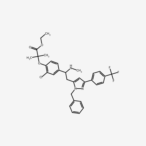 CCOC(=O)C(C)(C)Oc1ccc(C(Cc2cc(-c3ccc(C(F)(F)F)cc3)nn2Cc2ccccc2)NC)cc1Cl